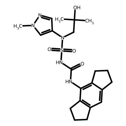 Cn1cc(N(CC(C)(C)O)S(=O)(=O)NC(=O)Nc2c3c(cc4c2CCC4)CCC3)cn1